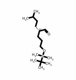 CC(C)CC[C@H](C=O)CCCO[Si](C)(C)C(C)(C)C